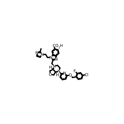 Cc1nccn1CCn1c(CN2CCN(c3cccc(OCc4ccc(Cl)cc4F)n3)[C@@H]3COC[C@@H]32)nc2ccc(C(=O)O)cc21